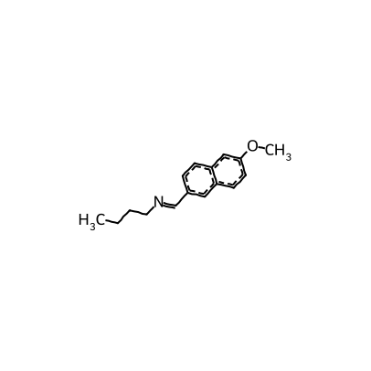 CCCCN=Cc1ccc2cc(OC)ccc2c1